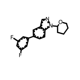 Fc1cc(F)cc(-c2ccc3c(cnn3C3CCCCO3)c2)c1